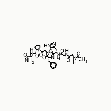 CC(=O)NCC(=O)NCC(=O)N[C@@H](Cc1c[nH]cn1)C(=O)N[C@H](Cc1ccccc1)C(=O)NCC(=O)N1CCC[C@H]1C(=O)NCC(N)=O